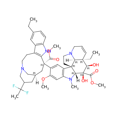 CCc1ccc2[nH]c3c(c2c1)CCN1CC(C(C)(F)F)C[C@@H](C1)C[C@]3(C(=O)OC)c1cc2c(cc1OC)N(C)[C@H]1[C@@](O)(C(=O)OC)[C@H](O)[C@]3(CC)C=CCN4CC[C@]21[C@@H]43